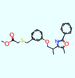 COC(=O)CSCc1cccc(OCC(C)c2nc(-c3ccccc3)oc2C)c1